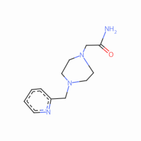 NC(=O)CN1CCN(Cc2ccccn2)CC1